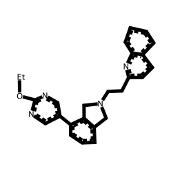 CCOc1ncc(-c2cccc3c2CN(CCc2ccc4ccccc4n2)C3)cn1